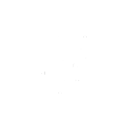 O=S(=O)=C(F)C(F)(F)C(F)=S(=O)=O